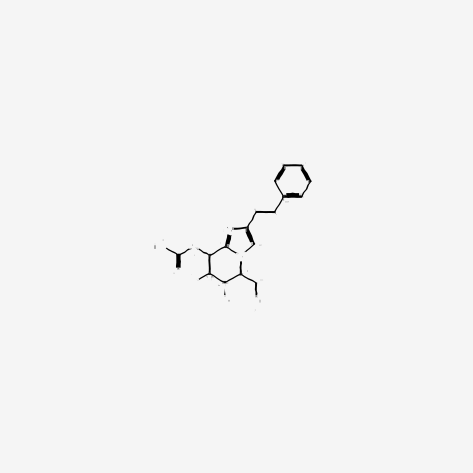 CC(C)C(=O)NC1c2nc(CCc3ccccc3)cn2C(CO)[C@@H](O)C1O